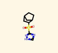 O=S(=O)(c1nc[nH]n1)C1CC2CCC1C2